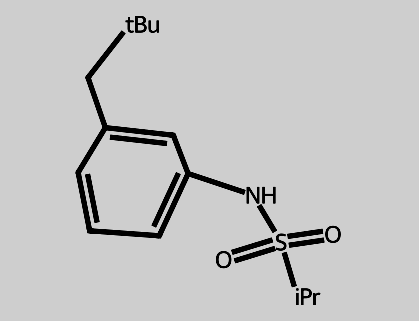 CC(C)S(=O)(=O)Nc1cccc(CC(C)(C)C)c1